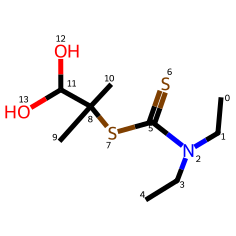 CCN(CC)C(=S)SC(C)(C)C(O)O